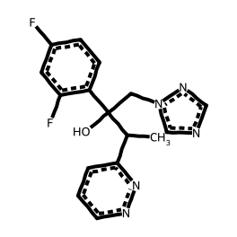 CC(c1cccnn1)C(O)(Cn1cncn1)c1ccc(F)cc1F